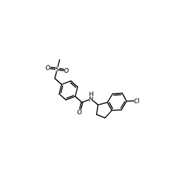 CS(=O)(=O)Cc1ccc(C(=O)NC2CCc3cc(Cl)ccc32)cc1